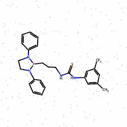 Cc1cc(NC(=S)NCCCP2N(c3ccccc3)CCN2c2ccccc2)cc(C(F)(F)F)c1